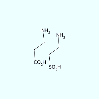 NCCC(=O)O.NCCS(=O)(=O)O